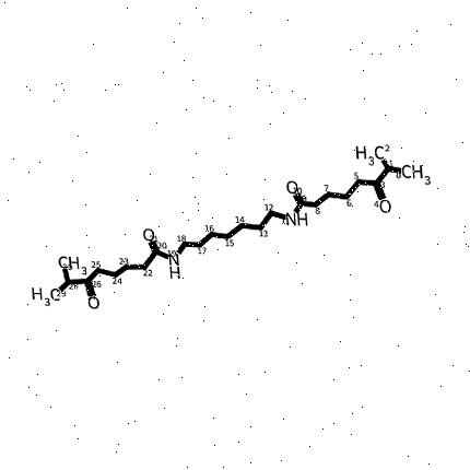 CC(C)C(=O)CCCCC(=O)NCCCCCCCNC(=O)CCCCC(=O)C(C)C